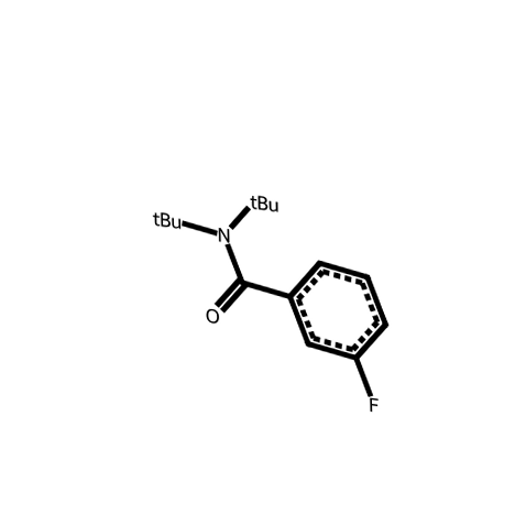 CC(C)(C)N(C(=O)c1cccc(F)c1)C(C)(C)C